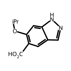 CC(C)Oc1cc2[nH]ncc2cc1C(=O)O